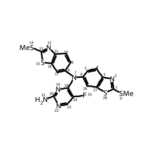 CSc1nc2ccc(N(c3ccc4nc(SC)sc4c3)c3nc(N)ncc3F)cc2s1